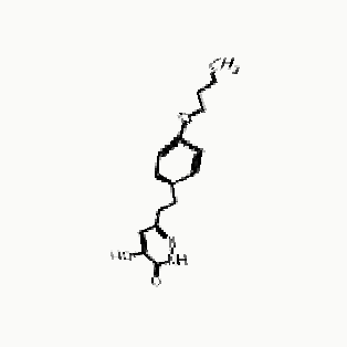 CCCCOc1ccc(CCc2cc(O)c(=O)[nH]n2)cc1